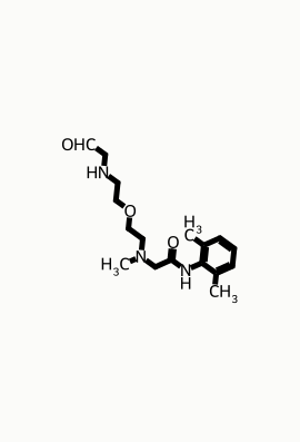 Cc1cccc(C)c1NC(=O)CN(C)CCOCCNCC=O